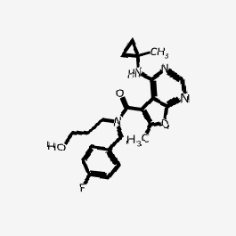 Cc1oc2ncnc(NC3(C)CC3)c2c1C(=O)N(CCCO)Cc1ccc(F)cc1